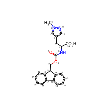 Cn1cc(CC(NC(=O)OCC2c3ccccc3-c3ccccc32)C(=O)O)cn1